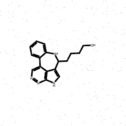 OCCCCC1Nc2ccccc2-c2cnnc3[nH]cc1c23